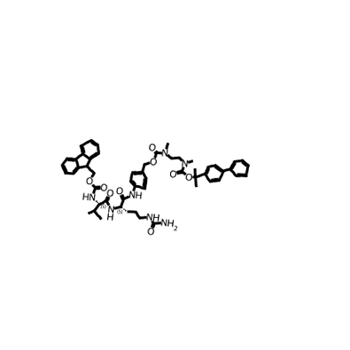 CC(C)[C@H](NC(=O)OCC1c2ccccc2-c2ccccc21)C(=O)N[C@@H](CCCNC(N)=O)C(=O)Nc1ccc(COC(=O)N(C)CCN(C)C(=O)OC(C)(C)c2ccc(-c3ccccc3)cc2)cc1